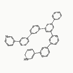 C1=CC(c2cccc(-c3cccc(-c4cc(-c5ccccc5)cc(-c5cccc(-c6cccc(-c7cccnc7)c6)c5)c4)c3)c2)=CNC1